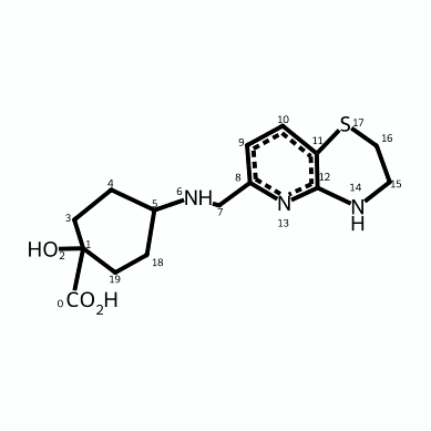 O=C(O)C1(O)CCC(NCc2ccc3c(n2)NCCS3)CC1